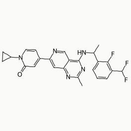 Cc1nc(NC(C)c2cccc(C(F)F)c2F)c2cnc(-c3ccn(C4CC4)c(=O)c3)cc2n1